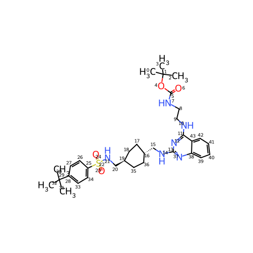 CC(C)(C)OC(=O)NCCNc1nc(NC[C@H]2CC[C@H](CNS(=O)(=O)c3ccc(C(C)(C)C)cc3)CC2)nc2ccccc12